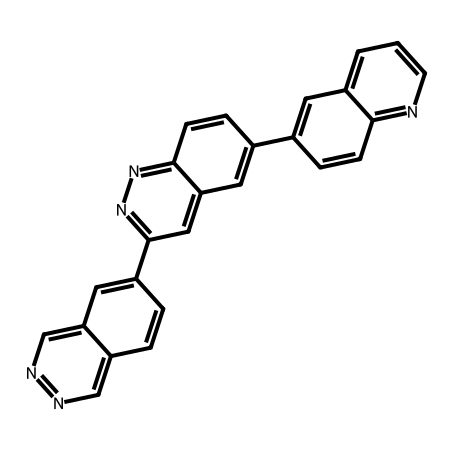 c1cnc2ccc(-c3ccc4nnc(-c5ccc6cnncc6c5)cc4c3)cc2c1